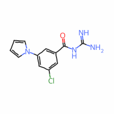 N=C(N)NC(=O)c1cc(Cl)cc(-n2cccc2)c1